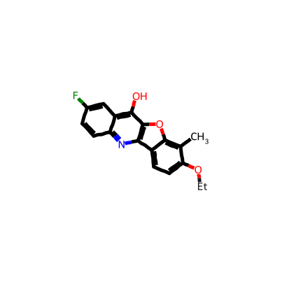 CCOc1ccc2c(oc3c(O)c4cc(F)ccc4nc32)c1C